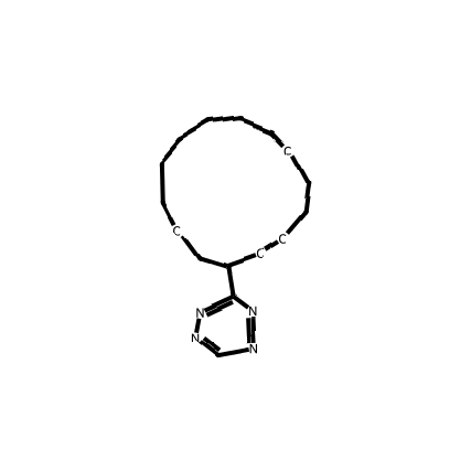 c1nnc(C2CCCCCCCCCCCCC2)nn1